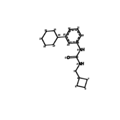 O=C(NCC1CCC1)Nc1cccc(C2CCCCC2)c1